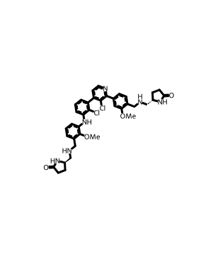 COc1cc(-c2nccc(-c3cccc(Nc4cccc(CNC[C@H]5CCC(=O)N5)c4OC)c3Cl)c2Cl)ccc1CNC[C@@H]1CCC(=O)N1